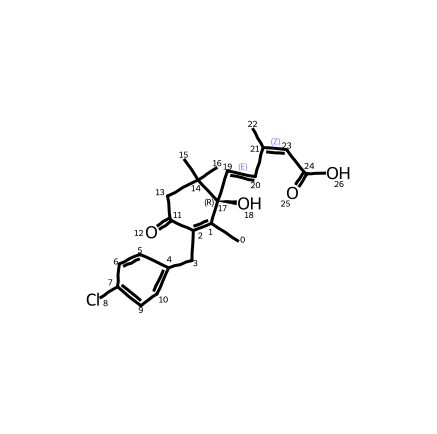 CC1=C(Cc2ccc(Cl)cc2)C(=O)CC(C)(C)[C@]1(O)/C=C/C(C)=C\C(=O)O